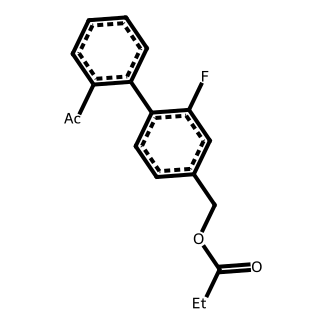 CCC(=O)OCc1ccc(-c2ccccc2C(C)=O)c(F)c1